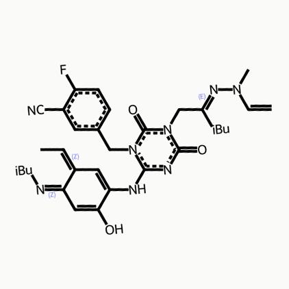 C=CN(C)/N=C(/Cn1c(=O)nc(NC2=CC(=C/C)/C(=N\C(C)CC)C=C2O)n(Cc2ccc(F)c(C#N)c2)c1=O)C(C)CC